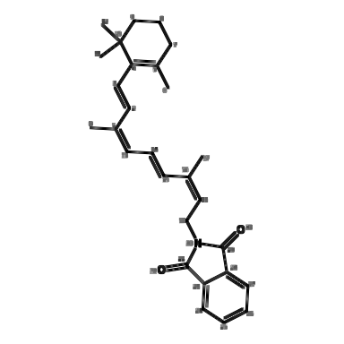 CC(C=CC1=C(C)CCCC1(C)C)=CC=CC(C)=CCN1C(=O)c2ccccc2C1=O